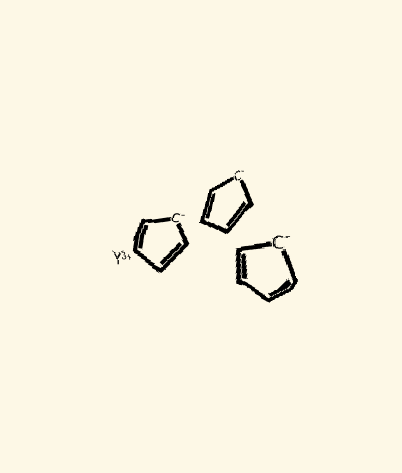 [Y+3].c1cc[cH-]c1.c1cc[cH-]c1.c1cc[cH-]c1